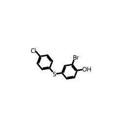 Oc1ccc(Sc2ccc(Cl)cc2)cc1Br